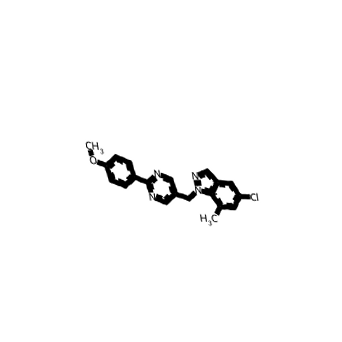 COc1ccc(-c2ncc(Cn3ncc4cc(Cl)cc(C)c43)cn2)cc1